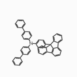 c1ccc(-c2ccc(N(c3ccc(-c4ccccc4)cc3)c3ccc(C45c6ccccc6-c6cccc(c64)-c4ccccc45)cc3)cc2)cc1